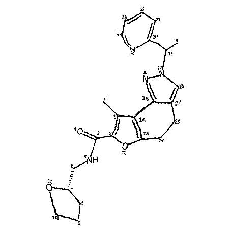 Cc1c(C(=O)NC[C@@H]2CCCO2)oc2c1-c1nn(C(C)c3ccccn3)cc1CC2